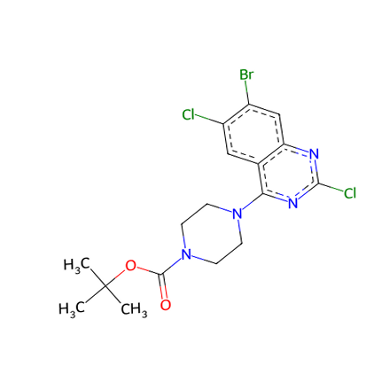 CC(C)(C)OC(=O)N1CCN(c2nc(Cl)nc3cc(Br)c(Cl)cc23)CC1